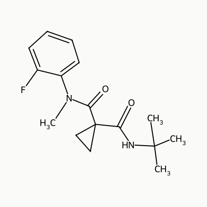 CN(C(=O)C1(C(=O)NC(C)(C)C)CC1)c1ccccc1F